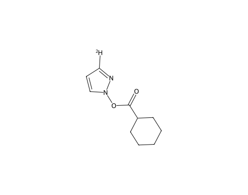 [2H]c1ccn(OC(=O)C2CCCCC2)n1